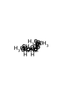 CC(C)S(=O)(=O)NC1CCC(C(=O)Nc2cccc(S(=O)(=O)N3C[C@@H](C)O[C@@H](C)C3)c2)CC1